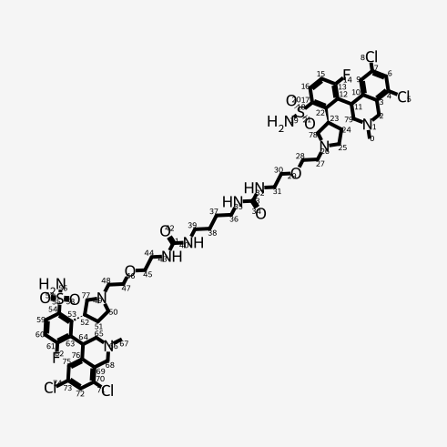 CN1Cc2c(Cl)cc(Cl)cc2C(c2c(F)ccc(S(N)(=O)=O)c2[C@H]2CCN(CCOCCNC(=O)NCCCCNC(=O)NCCOCCN3CC[C@H](c4c(S(N)(=O)=O)ccc(F)c4C4CN(C)Cc5c(Cl)cc(Cl)cc54)C3)C2)C1